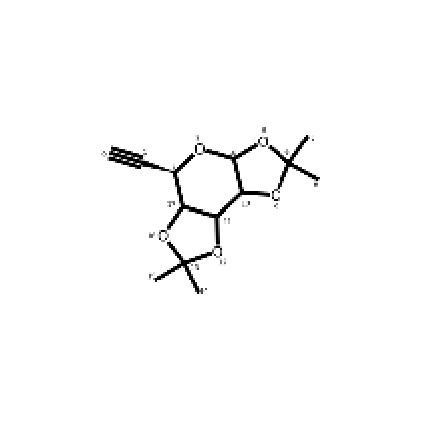 C#C[C@H]1OC2OC(C)(C)OC2C2OC(C)(C)OC21